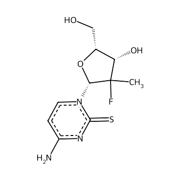 CC1(F)[C@@H](O)[C@@H](CO)O[C@H]1n1ccc(N)nc1=S